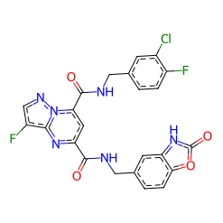 O=C(NCc1ccc2oc(=O)[nH]c2c1)c1cc(C(=O)NCc2ccc(F)c(Cl)c2)n2ncc(F)c2n1